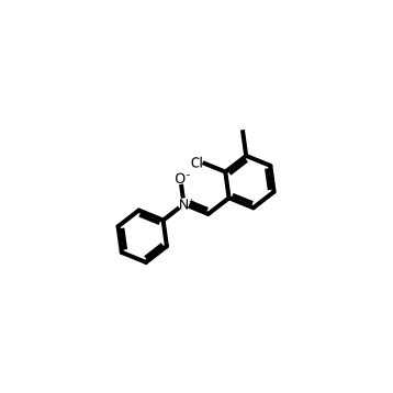 Cc1cccc(C=[N+]([O-])c2ccccc2)c1Cl